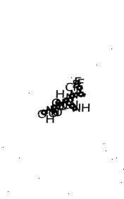 CC1(C)CCC(CN2CCN(c3ccc(C(=O)NS(=O)(=O)c4ccc(NCC5CCOCC5)c([N+](=O)[O-])c4)c(Oc4cnc5[nH]ccc5c4)c3)CC2)=C(c2ccc(C(F)(F)F)c(Cl)c2)C1